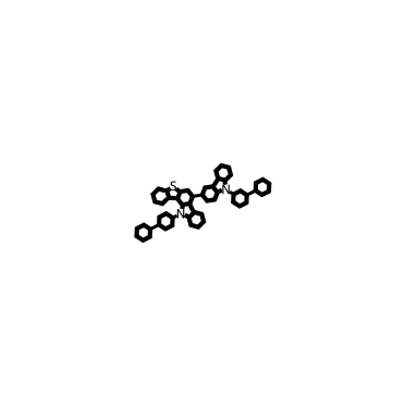 c1ccc(-c2ccc(-n3c4ccccc4c4c(-c5ccc6c(c5)c5ccccc5n6-c5cccc(-c6ccccc6)c5)cc5sc6ccccc6c5c43)cc2)cc1